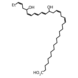 CC/C=C\CC(O)\C=C/C=C/C=C/C(O)C/C=C\C/C=C\CCCCCCCCCCCCCCC(=O)O